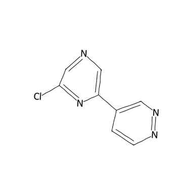 Clc1cncc(-c2ccnnc2)n1